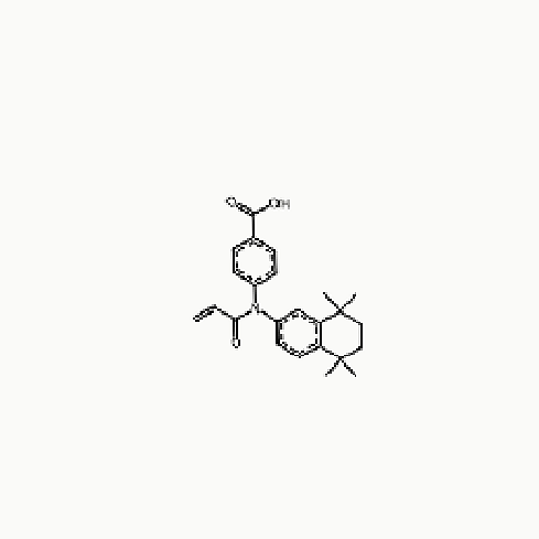 C=CC(=O)N(c1ccc(C(=O)O)cc1)c1ccc2c(c1)C(C)(C)CCC2(C)C